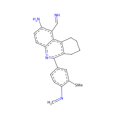 C=Nc1ccc(-c2nc3ccc(N)c(C=N)c3c3c2CCCC3)cc1SC